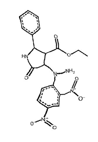 CCOC(=O)C1C(c2ccccc2)NC(=O)C1N(N)c1ccc([N+](=O)[O-])cc1[N+](=O)[O-]